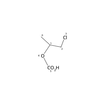 CC(CCl)OC(=O)O